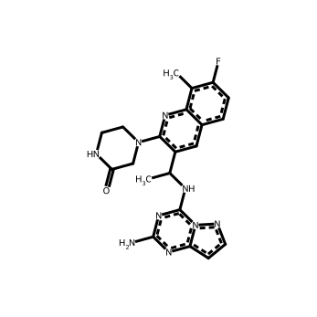 Cc1c(F)ccc2cc(C(C)Nc3nc(N)nc4ccnn34)c(N3CCNC(=O)C3)nc12